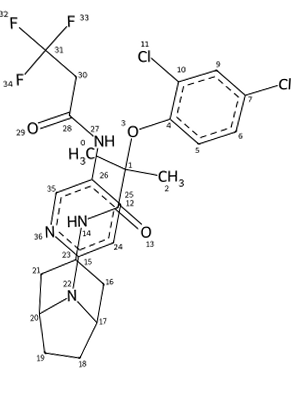 CC(C)(Oc1ccc(Cl)cc1Cl)C(=O)NC1CC2CCC(C1)N2c1ccc(NC(=O)CC(F)(F)F)cn1